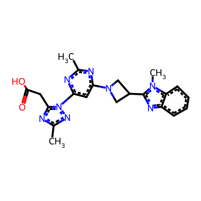 Cc1nc(N2CC(c3nc4ccccc4n3C)C2)cc(-n2nc(C)nc2CC(=O)O)n1